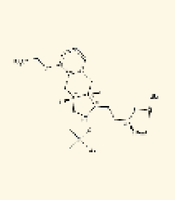 CCCCC[C@@H](CC[C@@H]1[C@H]2Cc3cccc(OCC(=O)O)c3C[C@H]2C[C@H]1O[Si](C)(C)C(C)(C)C)O[Si](C)(C)C(C)(C)C